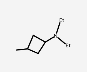 CCN(CC)C1CC(C)C1